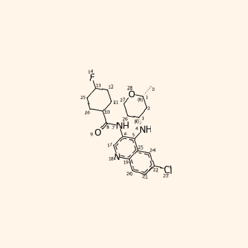 C[C@@H]1C[C@H](Nc2c(NC(=O)C3CCC(F)CC3)cnc3ccc(Cl)cc23)CCO1